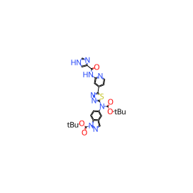 CC(C)(C)OC(=O)N(c1ccc2c(cnn2C(=O)OC(C)(C)C)c1)c1nnc(-c2ccnc(NC(=O)c3c[nH]cn3)c2)s1